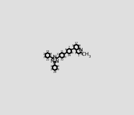 Cc1ccc2c(-c3ccc(-c4ccc(-c5nc(-c6ccccc6)nc(-c6ccccc6)n5)cc4)cc3)cccc2n1